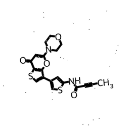 CC#CC(=O)Nc1cc(-c2csc3c(=O)cc(N4CCOCC4)oc23)cs1